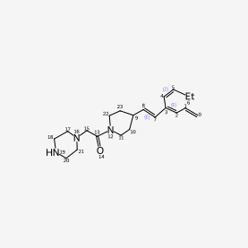 C=C/C=C(\C=C/CC)/C=C/C1CCN(C(=O)CN2CCNCC2)CC1